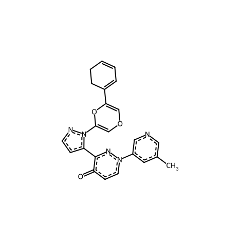 Cc1cncc(-n2ccc(=O)c(-c3ccnn3C3=COC=C(C4=CC=CCC4)O3)n2)c1